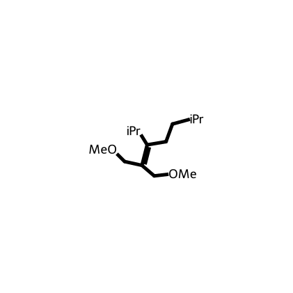 COCC(COC)=C(CCC(C)C)C(C)C